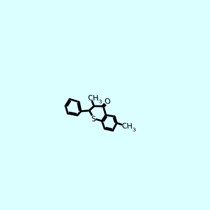 Cc1ccc2c(c1)C(=O)C(C)C(c1ccccc1)S2